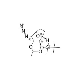 CC(=O)OC1[C@H](N=[N+]=[N-])C2CC[C@@H](O2)[C@H]1O[Si](C)(C)C(C)(C)C